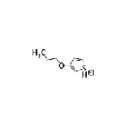 CCCOC1=C[SH](Cl)C=C1